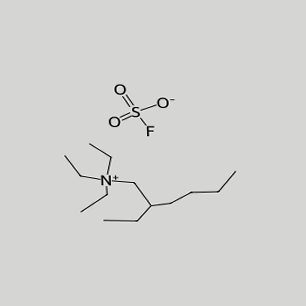 CCCCC(CC)C[N+](CC)(CC)CC.O=S(=O)([O-])F